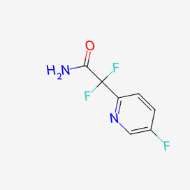 NC(=O)C(F)(F)c1ccc(F)cn1